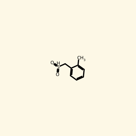 Cc1ccccc1C[SH](=O)=O